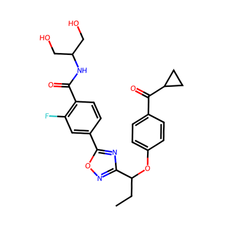 CCC(Oc1ccc(C(=O)C2CC2)cc1)c1noc(-c2ccc(C(=O)NC(CO)CO)c(F)c2)n1